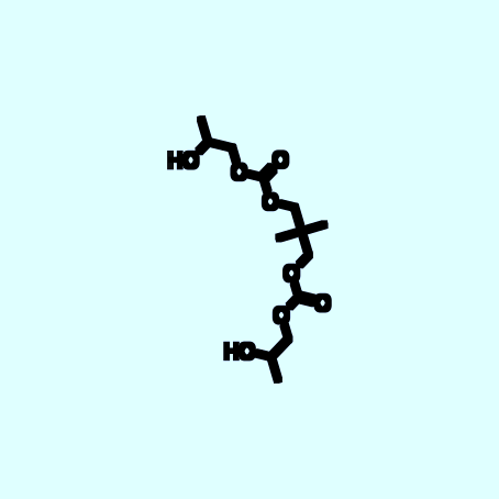 CC(O)COC(=O)OCC(C)(C)COC(=O)OCC(C)O